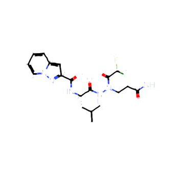 CC(C)C[C@H](NC(=O)c1cc2ccccn2n1)C(=O)NN(CCC(N)=O)C(=O)[C@@H](F)Cl